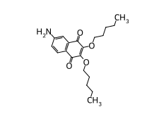 CCCCCOC1=C(OCCCCC)C(=O)c2cc(N)ccc2C1=O